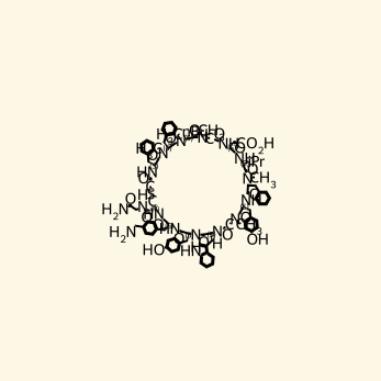 CCCC[C@H]1C(=O)N(C)CC(=O)N[C@@H](CC(=O)O)C(=O)N[C@@H](C(C)C)C(=O)N(C)C(Cc2ccccc2)C(=O)N[C@@H](Cc2ccc(O)cc2)C(=O)N(C)CC(=O)N[C@@H](Cc2c[nH]c3ccccc23)C(=O)N[C@@H](Cc2ccc(O)cc2)C(=O)N[C@@H](Cc2ccc(CN)cc2)C(=O)N[C@H](C(=O)NCC(N)=O)CSCC(=O)N[C@@H](Cc2ccccc2)C(=O)N(C)[C@@H](Cc2ccccc2)C(=O)N1C